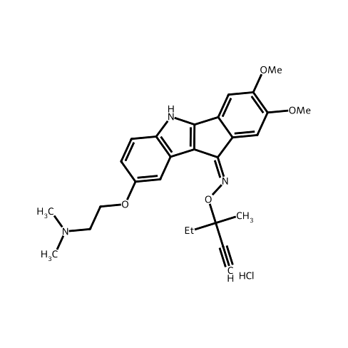 C#CC(C)(CC)ON=C1c2cc(OC)c(OC)cc2-c2[nH]c3ccc(OCCN(C)C)cc3c21.Cl